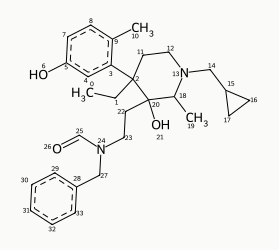 CCC1(c2cc(O)ccc2C)CCN(CC2CC2)C(C)C1(O)CCN(C=O)Cc1ccccc1